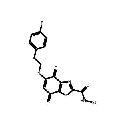 CCNC(=O)c1nc2c(s1)C(=O)C=C(NCCc1ccc(F)cc1)C2=O